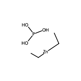 C[CH2][Zn][CH2]C.OP(O)O